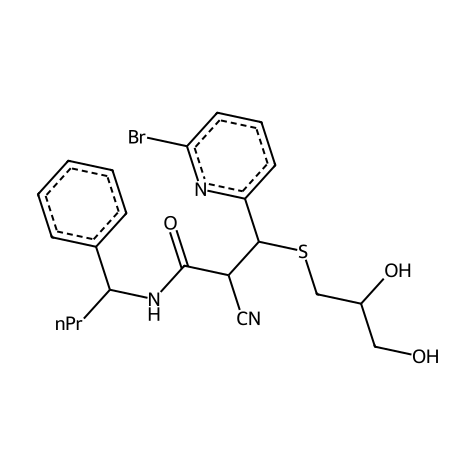 CCCC(NC(=O)C(C#N)C(SCC(O)CO)c1cccc(Br)n1)c1ccccc1